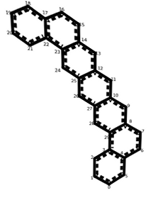 c1ccc2c(c1)ccc1cc3cc4cc5ccc6ccccc6c5cc4cc3cc12